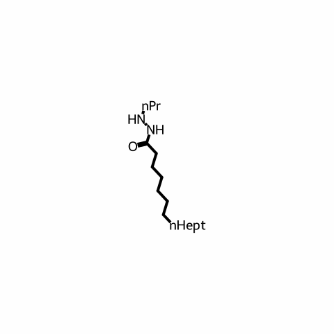 CCCCCCCCCCCCCC(=O)NNCCC